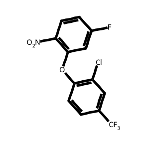 O=[N+]([O-])c1ccc(F)cc1Oc1ccc(C(F)(F)F)cc1Cl